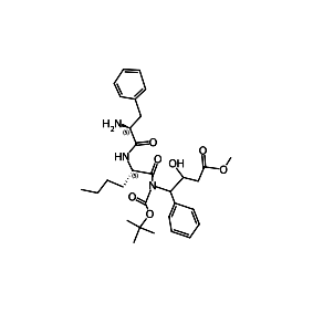 CCCC[C@H](NC(=O)[C@@H](N)Cc1ccccc1)C(=O)N(C(=O)OC(C)(C)C)C(c1ccccc1)C(O)CC(=O)OC